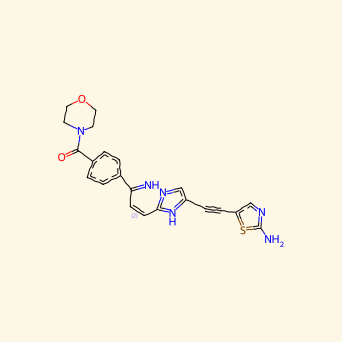 N=C(/C=C\c1ncc(C#Cc2cnc(N)s2)[nH]1)c1ccc(C(=O)N2CCOCC2)cc1